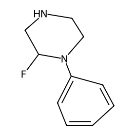 FC1CNCCN1c1ccccc1